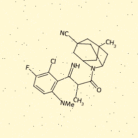 CNc1ccc(F)c(Cl)c1C(=N)C(C)C(=O)N1C2CC3(C)CC1CC(C#N)(C2)C3